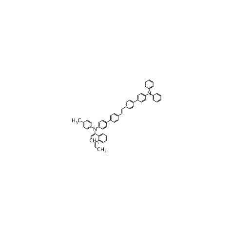 C/C=C\c1ccccc1/C(=C\C)N(c1ccc(C)cc1)c1ccc(-c2ccc(/C=C/c3ccc(-c4ccc(N(c5ccccc5)c5ccccc5)cc4)cc3)cc2)cc1